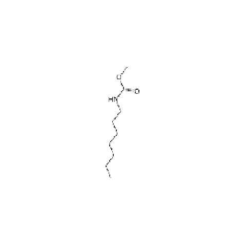 CCCCCCCNC(=O)OC